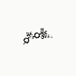 CCCCS(=O)(=O)Nc1ccc(OS(=O)(=O)c2ccc(C)cc2)cc1